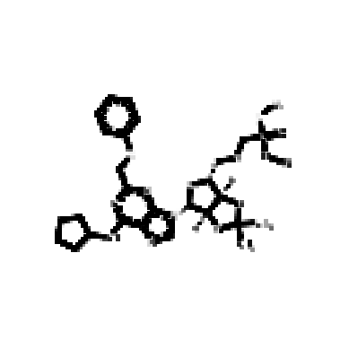 CCOP(=O)(COC[C@H]1O[C@@H](n2cnc3c(NC4CCCC4)nc(COc4ccccc4)nc32)[C@@H]2OC(C)(C)O[C@@H]21)OCC